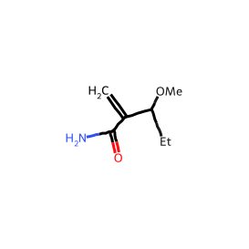 C=C(C(N)=O)C(CC)OC